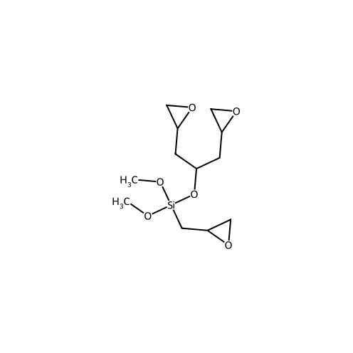 CO[Si](CC1CO1)(OC)OC(CC1CO1)CC1CO1